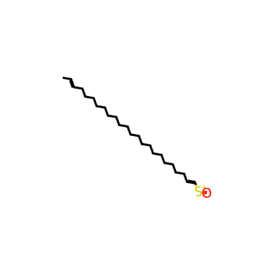 CC=CCCCCCCCCCCCCCCCCCCCC=C[S+]=O